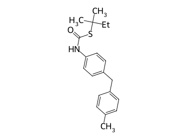 CCC(C)(C)SC(=O)Nc1ccc(Cc2ccc(C)cc2)cc1